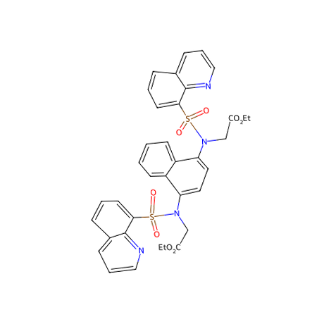 CCOC(=O)CN(c1ccc(N(CC(=O)OCC)S(=O)(=O)c2cccc3cccnc23)c2ccccc12)S(=O)(=O)c1cccc2cccnc12